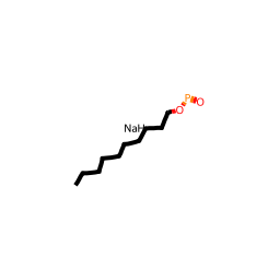 CCCCCCCCCCOP=O.[NaH]